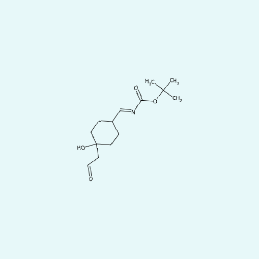 CC(C)(C)OC(=O)/N=C/C1CCC(O)(CC=O)CC1